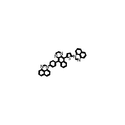 C1=Nc2cccc3cccc(c23)N1C1=CC=C(c2c3ccccc3c(-c3ccc(N4C=Nc5cccc6cccc4c56)s3)c3nccnc23)CC1